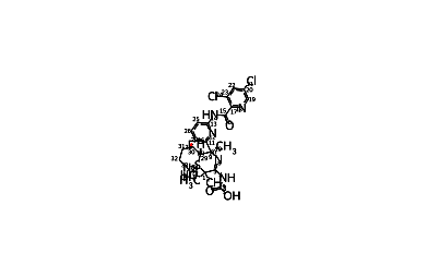 CC1(C)C(NC(=O)O)=N[C@](C)(c2nc(NC(=O)c3ncc(Cl)cc3Cl)ccc2F)[C@H]2CCCN[S@@]21O